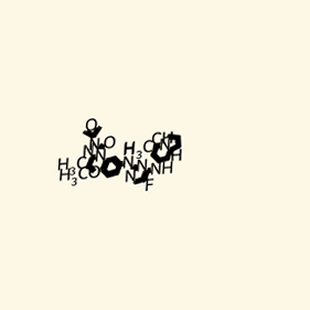 CC1(C)Oc2ccc(Nc3ncc(F)c(N[C@@H]4C[C@@H]5CCCN5C(C)(C)C4)n3)cc2-n2c1nn(C1COC1)c2=O